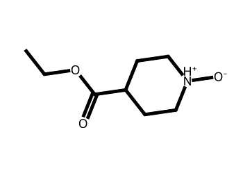 CCOC(=O)C1CC[NH+]([O-])CC1